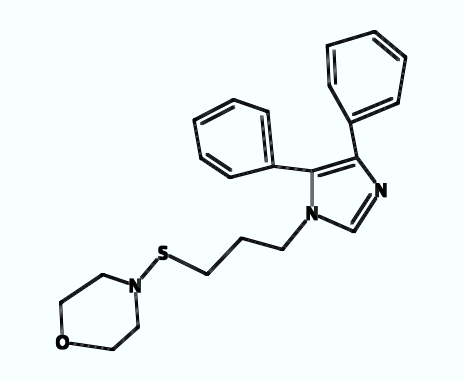 c1ccc(-c2ncn(CCCSN3CCOCC3)c2-c2ccccc2)cc1